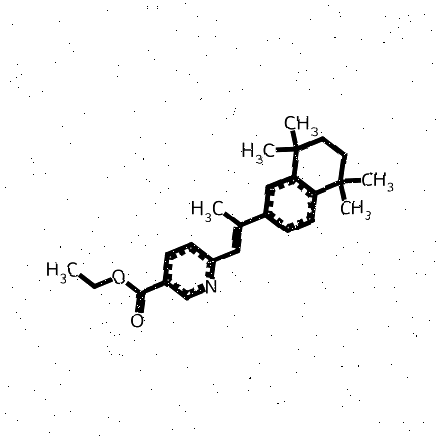 CCOC(=O)c1ccc(C=C(C)c2ccc3c(c2)C(C)(C)CCC3(C)C)nc1